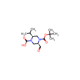 CC(C)[C@H]1CN(C(=O)OC(C)(C)C)[C@@H](C=O)CN1C(=O)O